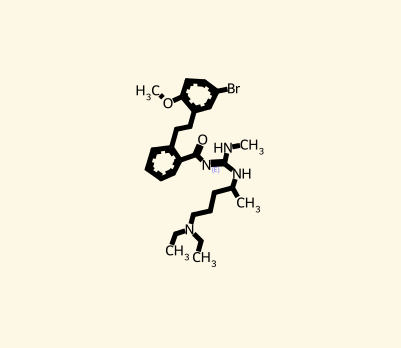 CCN(CC)CCCC(C)N/C(=N/C(=O)c1ccccc1CCc1cc(Br)ccc1OC)NC